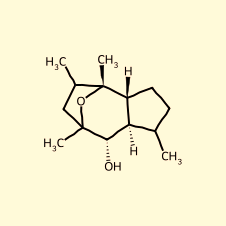 CC1CC[C@@H]2[C@@H]1[C@H](O)C1(C)CC(C)[C@@]2(C)O1